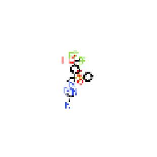 N#Cc1cnc(N2CCC(c3ccc(C(O)(C(F)(F)F)C(F)(F)F)cc3)(S(=O)(=O)c3ccccc3)C2)nc1